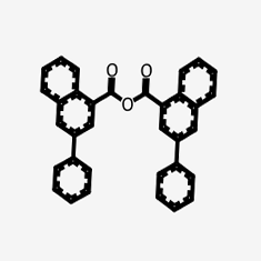 O=C(OC(=O)c1cc(-c2ccccc2)cc2ccccc12)c1cc(-c2ccccc2)cc2ccccc12